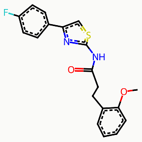 COc1ccccc1CCC(=O)Nc1nc(-c2ccc(F)cc2)cs1